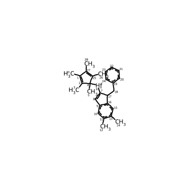 CC1=C(C)[C](C)([Hf][C]2=Cc3cc(C)c(C)cc3C2Cc2ccccc2)C(C)=C1C